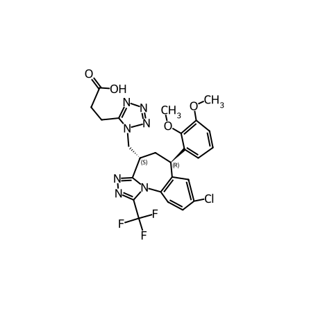 COc1cccc([C@@H]2C[C@@H](Cn3nnnc3CCC(=O)O)c3nnc(C(F)(F)F)n3-c3ccc(Cl)cc32)c1OC